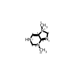 CN1CN=C2C1=CNCN2C